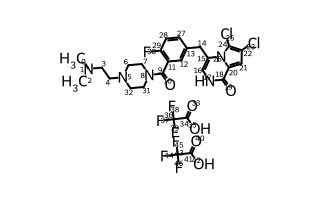 CN(C)CCN1CCN(C(=O)c2cc(Cc3c[nH]c(=O)c4cc(Cl)c(Cl)n34)ccc2F)CC1.O=C(O)C(F)(F)F.O=C(O)C(F)(F)F